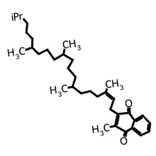 CC(=CCC1=C(C)C(=O)c2ccccc2C1=O)CCCC(C)CCCC(C)CCCC(C)CCCC(C)C